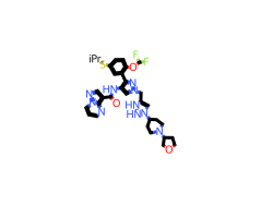 CC(C)Sc1ccc(OC(F)F)c(-c2nn(CC3=CN(C4CCN(C5CCOC5)CC4)NN3)cc2NC(=O)c2cnn3cccnc23)c1